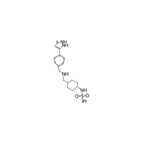 CC(C)S(=O)(=O)NC1CCC(CNCc2ccc(C3=CSNN3)cc2)CC1